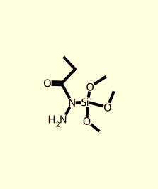 CCC(=O)N(N)[Si](OC)(OC)OC